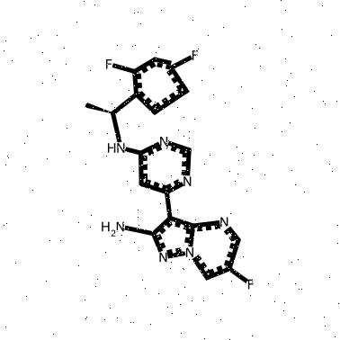 C[C@H](Nc1cc(-c2c(N)nn3cc(F)cnc23)ncn1)c1ccc(F)cc1F